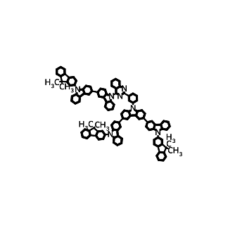 CC1(C)c2ccccc2-c2ccc(-n3c4ccccc4c4cc(-c5ccc6c(c5)c5cc(-c7ccc8c(c7)c7ccccc7n8-c7ccc8c(c7)C(C)(C)c7ccccc7-8)ccc5n6-c5cccc(-c6nc(-n7c8ccccc8c8cc(-c9ccc%10c(c9)c9ccccc9n%10-c9ccc%10c(c9)C(C)(C)c9ccccc9-%10)ccc87)c7ccccc7n6)c5)ccc43)cc21